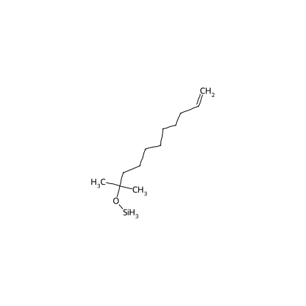 C=CCCCCCCCC(C)(C)O[SiH3]